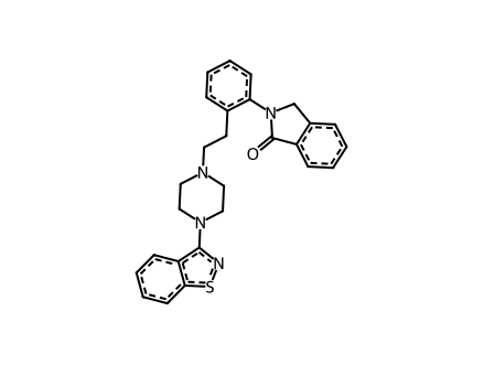 O=C1c2ccccc2CN1c1ccccc1CCN1CCN(c2nsc3ccccc23)CC1